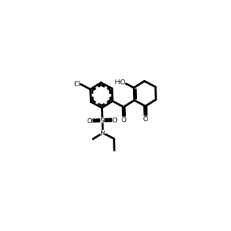 CCN(C)S(=O)(=O)c1cc(Cl)ccc1C(=O)C1=C(O)CCCC1=O